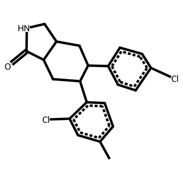 Cc1ccc(C2CC3C(=O)NCC3CC2c2ccc(Cl)cc2)c(Cl)c1